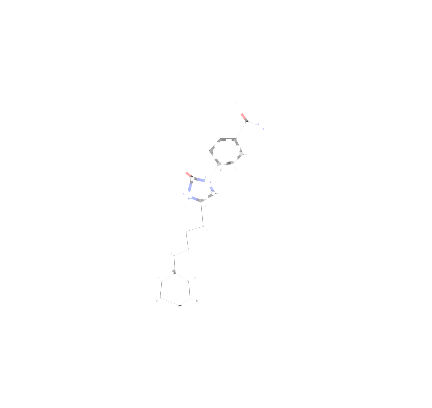 NC(=O)c1ccc(-n2cc(CCCCC3CCCCC3)[nH]c2=O)cc1